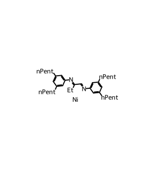 CCCCCc1cc(CCCCC)cc(/N=C/C(CC)=N/c2cc(CCCCC)cc(CCCCC)c2)c1.[Ni]